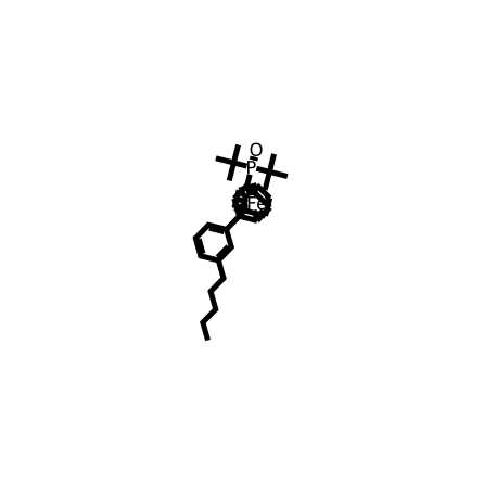 CCCCCc1cccc([C]23[CH]4[CH]5[C]6(P(=O)(C(C)(C)C)C(C)(C)C)[CH]2[Fe]45362789[CH]3[CH]2[CH]7[CH]8[CH]39)c1